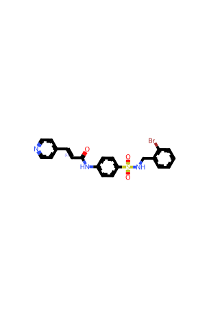 O=C(/C=C/c1ccncc1)Nc1ccc(S(=O)(=O)NCc2ccccc2Br)cc1